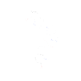 CNC(=O)c1ccc(N2CCc3cnn(S(=O)(=O)c4ccc5ccc(=O)[nH]c5c4)c3C2)cn1